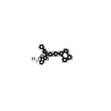 CC1(C)c2ccccc2-c2ccc(N(c3ccc(-c4ccccc4)cc3)c3ccc(-c4ccc(-c5ccc6c(c5)Cc5ccccc5-c5ccccc5Cc5ccccc5-6)cc4)cc3)cc21